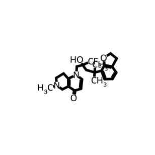 CN1CCc2c(c(=O)ccn2CC(O)(CC(C)(C)c2cccc3c2OCC3)C(F)(F)F)C1